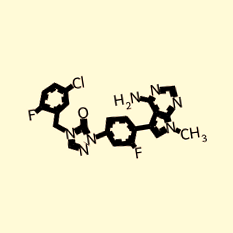 Cn1cc(-c2ccc(-n3ncn(Cc4cc(Cl)ccc4F)c3=O)cc2F)c2c(N)ncnc21